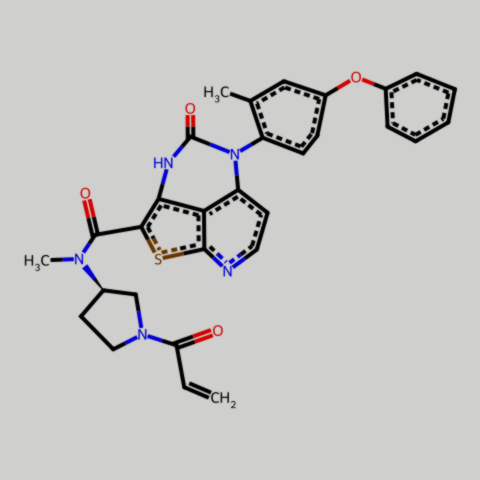 C=CC(=O)N1CC[C@@H](N(C)C(=O)c2sc3nccc4c3c2NC(=O)N4c2ccc(Oc3ccccc3)cc2C)C1